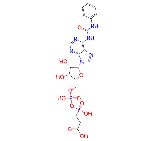 O=C(O)CCP(=O)(O)OP(=O)(O)OC[C@H]1O[C@@H](n2cnc3c(NC(=O)Nc4ccccc4)ncnc32)[C@@H](O)C1O